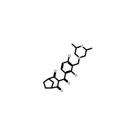 CC1CN(Cc2c(Cl)ccc(C(=O)C3C(=O)C4CCC(C4)C3=O)c2Cl)CC(C)O1